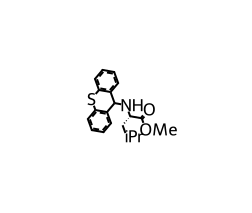 COC(=O)[C@H](CC(C)C)NC1c2ccccc2Sc2ccccc21